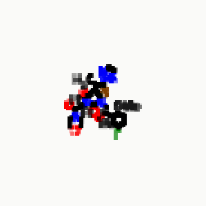 CCC(C)O[C@@H](Cn1c(=O)n(C(CC)(CC)C(=O)N2CCOCC2)c(=O)c2c(C)c(-n3nccn3)sc21)c1cc(F)ccc1OC